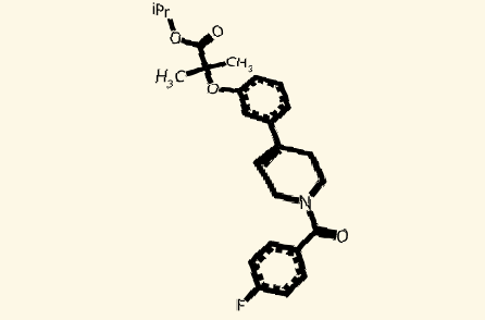 CC(C)OC(=O)C(C)(C)Oc1cccc(C2=CCN(C(=O)c3ccc(F)cc3)CC2)c1